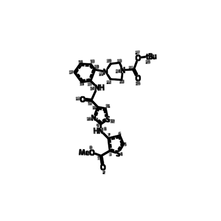 COC(=O)c1sccc1Nc1nc(C(=O)Nc2ccccc2N2CCN(C(=O)OC(C)(C)C)CC2)cs1